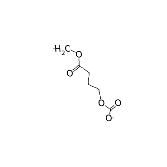 [CH2]OC(=O)CCCOC([O])=O